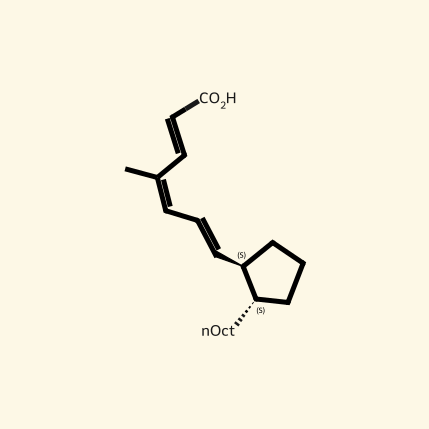 CCCCCCCC[C@H]1CCC[C@@H]1C=CC=C(C)C=CC(=O)O